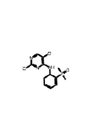 CP(C)(=O)C1=CC=CCC1Nc1nc(Cl)ncc1Cl